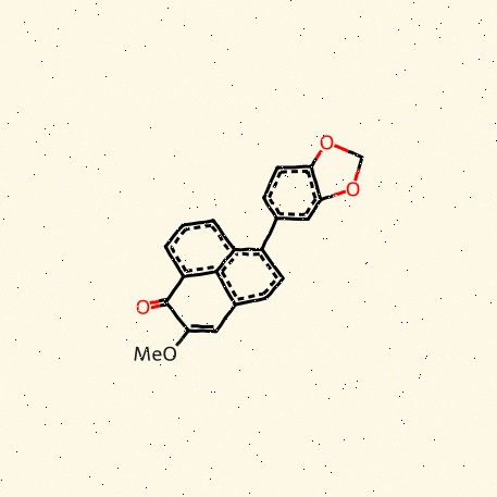 COC1=Cc2ccc(-c3ccc4c(c3)OCO4)c3cccc(c23)C1=O